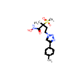 Cc1ccc(-c2cn(CCC(C)(C(=O)NO)S(C)(=O)=O)nn2)cc1